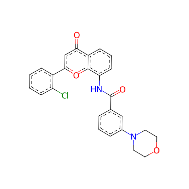 O=C(Nc1cccc2c(=O)cc(-c3ccccc3Cl)oc12)c1cccc(N2CCOCC2)c1